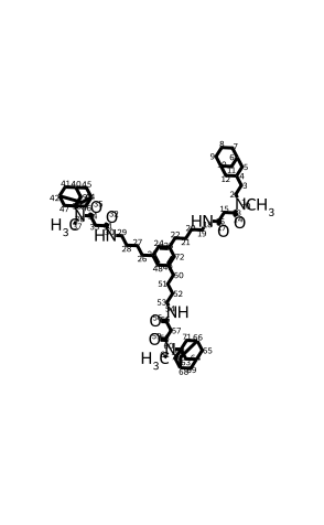 CN(CCC1CC2CCCC(C2)C1)C(=O)CC(=O)NCCCCc1cc(CCCCNC(=O)CC(=O)N(C)C23CC4CC(CC(C4)C2)C3)cc(CCCCNC(=O)CC(=O)N(C)C23CC4CC(CC(C4)C2)C3)c1